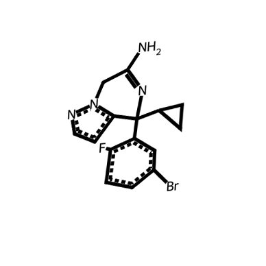 NC1=NC(c2cc(Br)ccc2F)(C2CC2)c2ccnn2C1